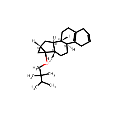 CC(C)C(C)(C)[SiH2]OC12C[C@@H]1C[C@H]1[C@@H]3CCC4=C(CC=CC4)[C@H]3CC[C@@]12C